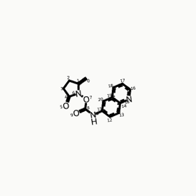 C=C1CCC(=O)N1OC(=O)Nc1ccc2ncccc2c1